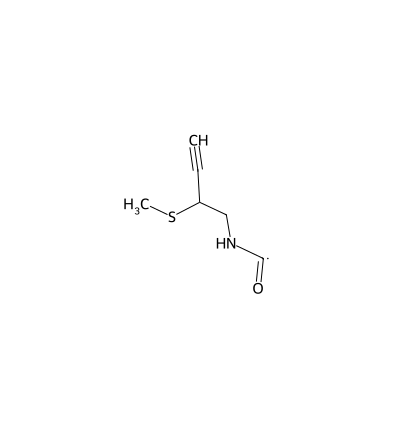 C#CC(CN[C]=O)SC